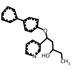 CCC(O)CC(Oc1ccc(-c2ccccc2)cc1)c1cccnc1